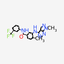 Cc1ccc(C(=O)Nc2cccc(C(F)(F)F)c2)cc1Nc1ncnc2c1cnn2C